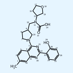 Cc1ccc2c(N3CCC(CN(C(=O)O)C4CCOC4)C3)nc(-c3ccccc3O)nc2c1